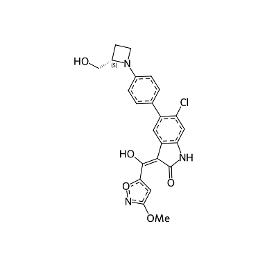 COc1cc(C(O)=C2C(=O)Nc3cc(Cl)c(-c4ccc(N5CC[C@H]5CO)cc4)cc32)on1